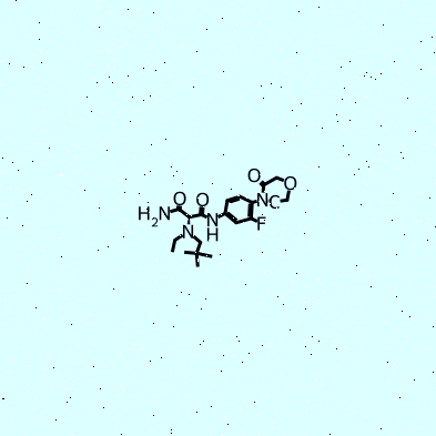 CCN(CC(C)(C)C)[C@@H](C(N)=O)C(=O)Nc1ccc(N2CCOCC2=O)c(F)c1